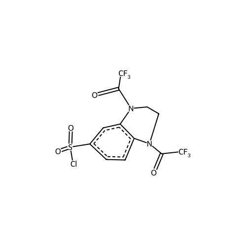 O=C(N1CCN(C(=O)C(F)(F)F)c2cc(S(=O)(=O)Cl)ccc21)C(F)(F)F